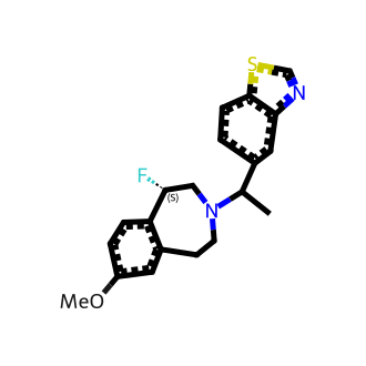 COc1ccc2c(c1)CCN(C(C)c1ccc3scnc3c1)C[C@H]2F